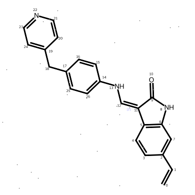 C=Cc1ccc2c(c1)NC(=O)/C2=C\Nc1ccc(Cc2ccncc2)cc1